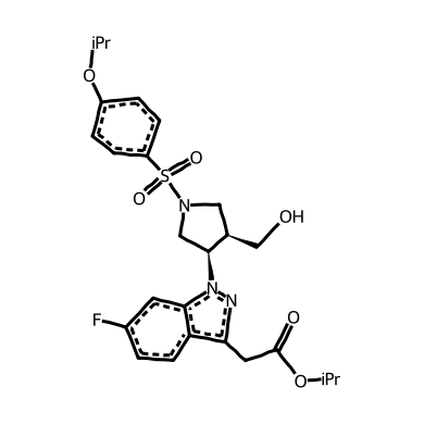 CC(C)OC(=O)Cc1nn([C@H]2CN(S(=O)(=O)c3ccc(OC(C)C)cc3)C[C@H]2CO)c2cc(F)ccc12